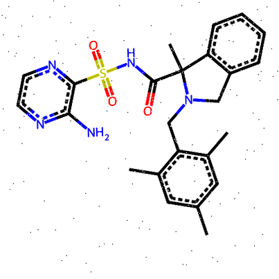 Cc1cc(C)c(CN2Cc3ccccc3C2(C)C(=O)NS(=O)(=O)c2nccnc2N)c(C)c1